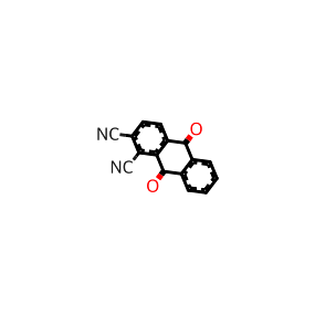 N#Cc1ccc2c(c1C#N)C(=O)c1ccccc1C2=O